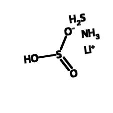 N.O=S([O-])O.S.[Li+]